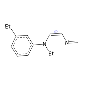 C=N/C=C\N(CC)c1cccc(CC)c1